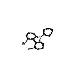 Brc1cccc2c1c1c(Br)cccc1n2-c1ccccc1